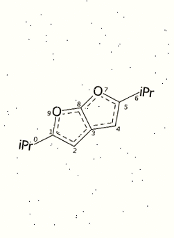 CC(C)c1cc2cc(C(C)C)oc2o1